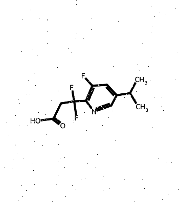 CC(C)c1cnc(C(F)(F)CC(=O)O)c(F)c1